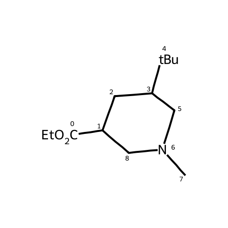 CCOC(=O)C1CC(C(C)(C)C)CN(C)C1